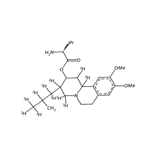 [2H]C1C(OC(=O)[C@@H](N)C(C)C)C([2H])(C([2H])([2H])C([2H])(C)C([2H])([2H])[2H])C([2H])([2H])N2CCc3cc(OC)c(OC)cc3C12[2H]